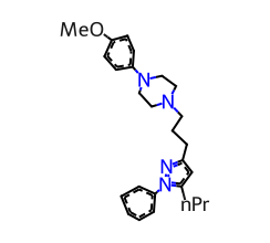 CCCc1cc(CCCN2CCN(c3ccc(OC)cc3)CC2)nn1-c1ccccc1